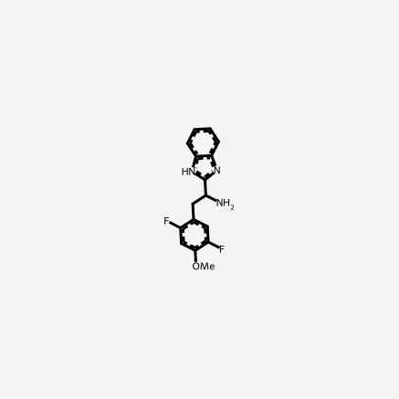 COc1cc(F)c(CC(N)c2nc3ccccc3[nH]2)cc1F